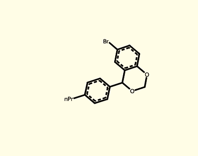 CCCc1ccc(C2OCOc3ccc(Br)cc32)cc1